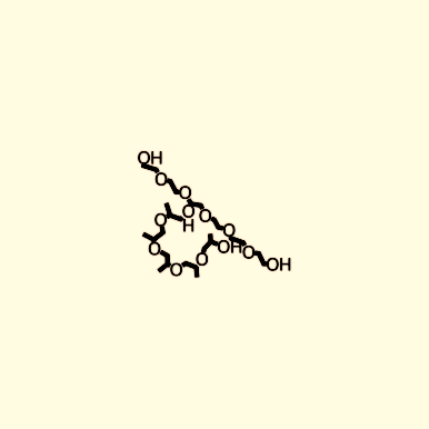 CC(O)COC(C)COC(C)COC(C)COC(C)CO.OCCOCCOCCOCCOCCOCCO